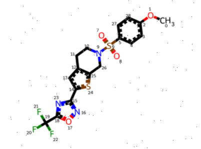 COc1ccc(S(=O)(=O)N2CCc3cc(-c4noc(C(F)(F)F)n4)sc3C2)cc1